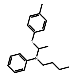 CCCCN(c1ccccc1)C(C)Oc1ccc(C)cc1